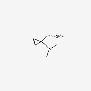 CSCC1(N(C)C)CC1